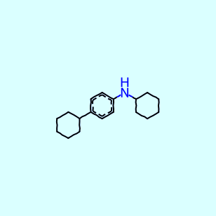 c1cc(C2CCCCC2)ccc1NC1CCCCC1